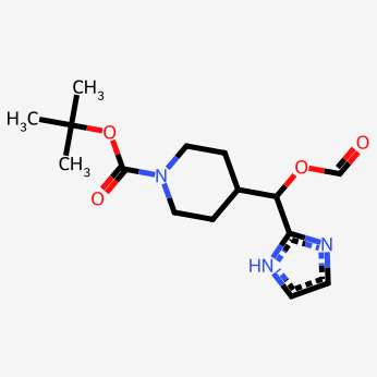 CC(C)(C)OC(=O)N1CCC(C(OC=O)c2ncc[nH]2)CC1